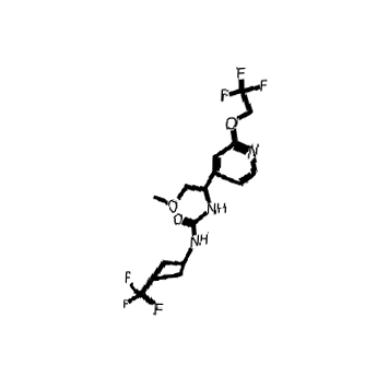 COCC(NC(=O)NC1CC(C(F)(F)F)C1)c1ccnc(OCC(F)(F)F)c1